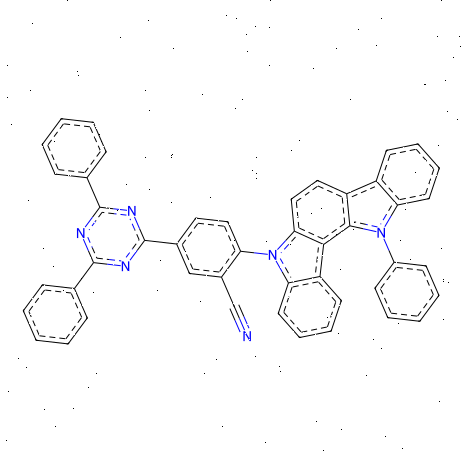 N#Cc1cc(-c2nc(-c3ccccc3)nc(-c3ccccc3)n2)ccc1-n1c2ccccc2c2c1ccc1c3ccccc3n(-c3ccccc3)c12